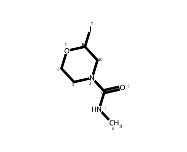 CNC(=O)N1CCOC(I)C1